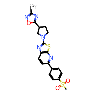 CC(C)c1noc(C2CCN(c3nc4ccc(-c5ccc(S(C)(=O)=O)cc5)nc4s3)C2)n1